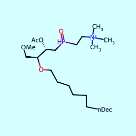 CCCCCCCCCCCCCCCCO[C@@H](COC)[C@@H](C[PH](=O)CC[N+](C)(C)C)OC(C)=O